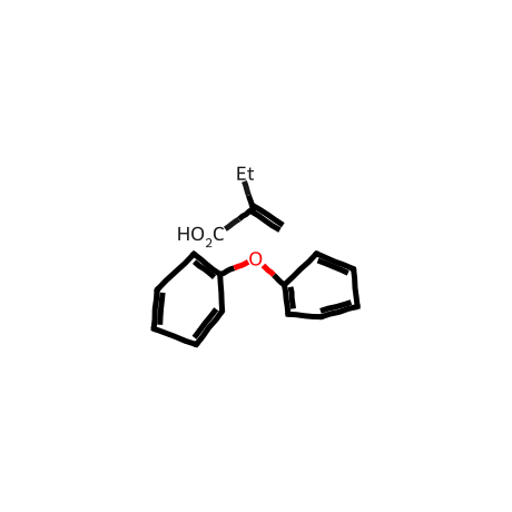 C=C(CC)C(=O)O.c1ccc(Oc2ccccc2)cc1